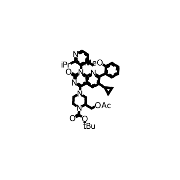 COc1ccccc1-c1nc2c(cc1C1CC1)c(N1CCN(C(=O)OC(C)(C)C)C(COC(C)=O)C1)nc(=O)n2-c1c(C)ccnc1C(C)C